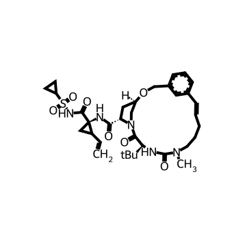 C=CC1C[C@]1(NC(=O)[C@@H]1C[C@@H]2CN1C(=O)[C@H](C(C)(C)C)NC(=O)N(C)CCC/C=C/c1cccc(c1)CO2)C(=O)NS(=O)(=O)C1CC1